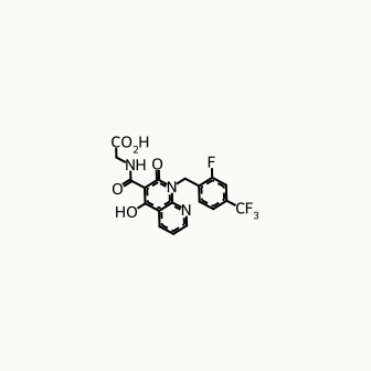 O=C(O)CNC(=O)c1c(O)c2cccnc2n(Cc2ccc(C(F)(F)F)cc2F)c1=O